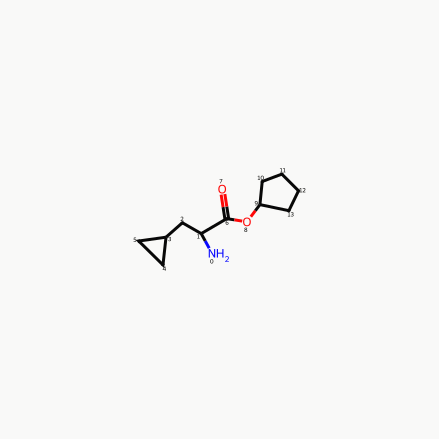 NC(CC1CC1)C(=O)OC1CCCC1